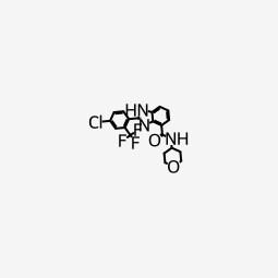 O=C(NC1CCOCC1)c1cccc2[nH]c(-c3ccc(Cl)cc3C(F)(F)F)nc12